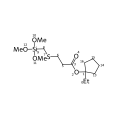 CCC1(OC(=O)CCSC[Si](OC)(OC)OC)CCCC1